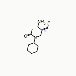 CC(=O)N(C/C(=C/F)CN)C1CCCCC1